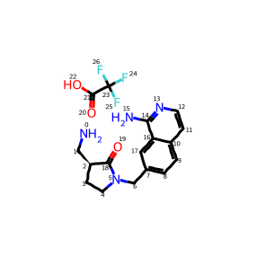 NC[C@@H]1CCN(Cc2ccc3ccnc(N)c3c2)C1=O.O=C(O)C(F)(F)F